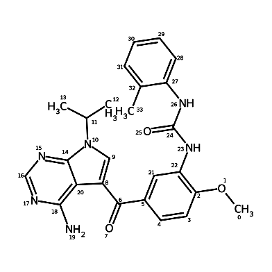 COc1ccc(C(=O)c2cn(C(C)C)c3ncnc(N)c23)cc1NC(=O)Nc1ccccc1C